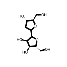 OC[C@H]1OC([C]2C[C@H](O)[C@@H](CO)O2)[C@H](O)[C@@H]1O